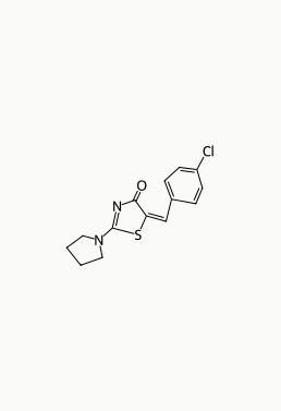 O=C1N=C(N2CCCC2)SC1=Cc1ccc(Cl)cc1